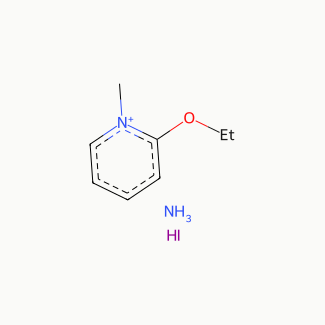 CCOc1cccc[n+]1C.I.N